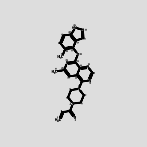 C=CC(=O)N1CCN(c2ncnc3c(Oc4c(C)ccc5[nH]ncc45)nc(C)cc23)CC1